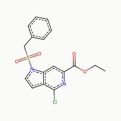 CCOC(=O)c1cc2c(ccn2S(=O)(=O)Cc2ccccc2)c(Cl)n1